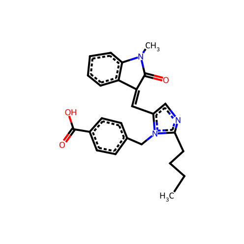 CCCCc1ncc(C=C2C(=O)N(C)c3ccccc32)n1Cc1ccc(C(=O)O)cc1